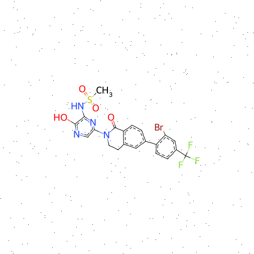 CS(=O)(=O)Nc1nc(N2CCc3cc(-c4ccc(C(F)(F)F)cc4Br)ccc3C2=O)cnc1O